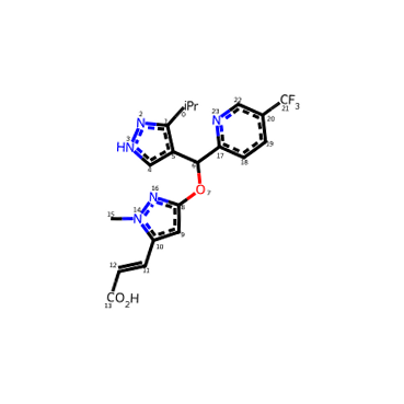 CC(C)c1n[nH]cc1C(Oc1cc(C=CC(=O)O)n(C)n1)c1ccc(C(F)(F)F)cn1